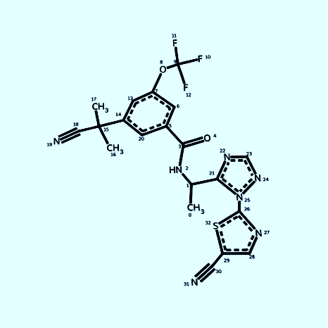 CC(NC(=O)c1cc(OC(F)(F)F)cc(C(C)(C)C#N)c1)c1ncnn1-c1ncc(C#N)s1